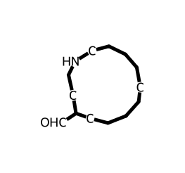 O=CC1CCCCCCCCCNCC1